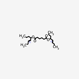 CC/C=C/C(CCC)OC(=O)CCCCC(=O)OC(/C=C/CC)CCC